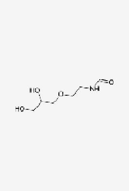 O=CNCCOCC(O)CO